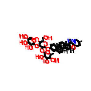 C[C@@H]1CC[C@@]2(NC1)O[C@H]1C[C@H]3[C@@H]4CC=C5C[C@@H](O[C@@H]6O[C@H](CO)[C@H](O)[C@H](O[C@@H]7OC[C@@H](O)[C@H](O)[C@H]7O)[C@H]6O[C@@H]6O[C@@H](C)[C@H](O)[C@@H](O)[C@H]6O)CC[C@]5(C)[C@H]4CC[C@]3(C)[C@H]1[C@@H]2C